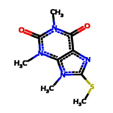 CSc1nc2c(=O)n(C)c(=O)n(C)c2n1C